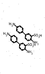 Nc1ccc(-c2ccc(N)c(S(=O)(=O)O)c2)cc1.Nc1ccc(-c2ccc(N)c(S(=O)(=O)O)c2)cc1